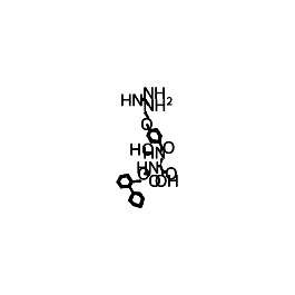 N=C(N)NCCOc1ccc(C(=O)NC[C@H](NC(=O)OCc2ccccc2-c2ccccc2)C(=O)O)c(O)c1